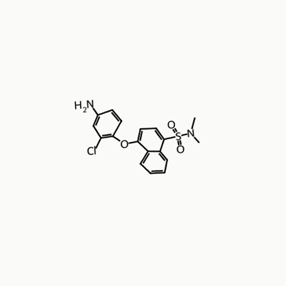 CN(C)S(=O)(=O)c1ccc(Oc2ccc(N)cc2Cl)c2ccccc12